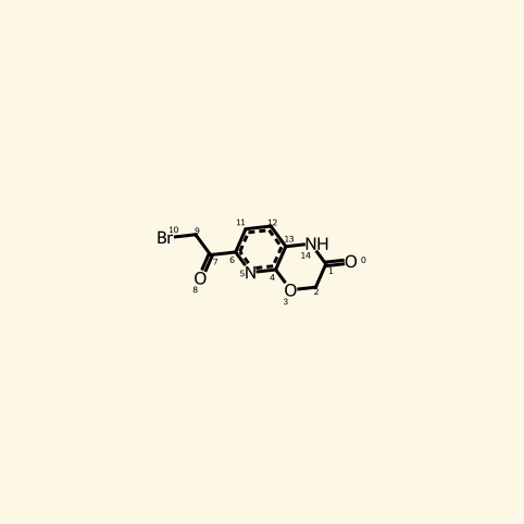 O=C1COc2nc(C(=O)CBr)ccc2N1